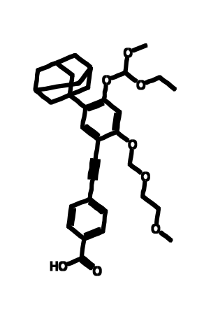 CCOC(OC)Oc1cc(OCOCCOC)c(C#Cc2ccc(C(=O)O)cc2)cc1C12CC3CC(CC(C3)C1)C2